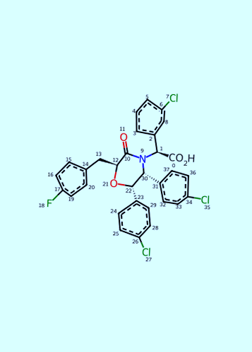 O=C(O)[C@H](c1cccc(Cl)c1)N1C(=O)[C@H](Cc2ccc(F)cc2)O[C@@H](c2ccc(Cl)cc2)[C@H]1c1ccc(Cl)cc1